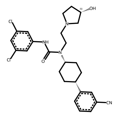 N#Cc1cccc([C@H]2CC[C@@H](N(CCN3CC[C@H](O)C3)C(=O)Nc3cc(Cl)cc(Cl)c3)CC2)c1